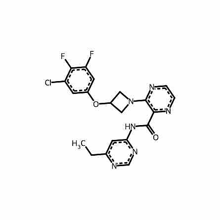 CCc1cc(NC(=O)c2nccnc2N2CC(Oc3cc(F)c(F)c(Cl)c3)C2)ncn1